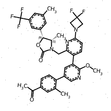 COc1ncc(-c2ccc(C(C)=O)cc2C)cc1-c1ccc(N2CC(F)(F)C2)nc1CN1C(=O)O[C@H](c2cc(C)cc(C(F)(F)F)c2)[C@@H]1C